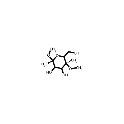 CO[C@]1(C)OC(CO)[C@@](C)(OC)C(O)C1O